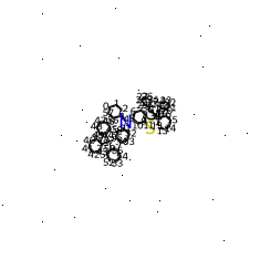 c1ccc(N(c2ccc3c(c2)Sc2ccccc2[Si]32c3ccccc3-c3ccccc32)c2ccc3c(c2)C(c2ccccc2)(c2ccccc2)c2ccccc2-3)cc1